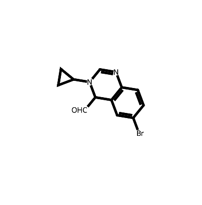 O=CC1c2cc(Br)ccc2N=CN1C1CC1